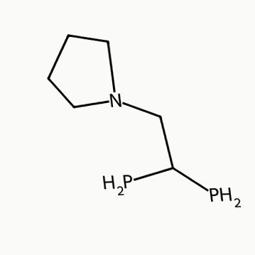 PC(P)CN1CCCC1